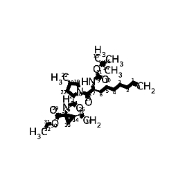 C=CCCCCC[C@H](NC(=O)OC(C)(C)C)C(=O)N1C[C@H](C)C[C@H]1C(=O)N[C@]1(C(=O)OCC)C[C@H]1C=C